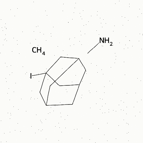 C.CN.IC12CC3CC(CC(C3)C1)C2